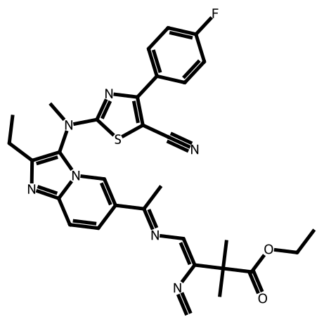 C=N/C(=C\N=C(/C)c1ccc2nc(CC)c(N(C)c3nc(-c4ccc(F)cc4)c(C#N)s3)n2c1)C(C)(C)C(=O)OCC